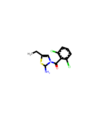 CCC1=CN(C(=O)c2c(Cl)cccc2Cl)C(N)S1